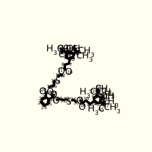 CC(C)(C)c1cc(CCC(=O)OCCSCCCOC(=O)c2ccccc2C(=O)OCCCSCCOC(=O)CCc2cc(C(C)(C)C)c(O)c(C(C)(C)C)c2)cc(C(C)(C)C)c1O